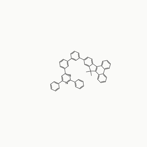 CC1(C)c2cc(-c3cccc(-c4cccc(-c5cc(-c6ccccc6)nc(-c6ccccc6)n5)c4)c3)ccc2-c2c1c1ccccc1c1ccccc21